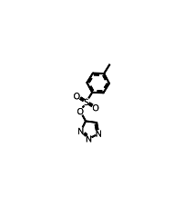 Cc1ccc(S(=O)(=O)OC2C=NN=N2)cc1